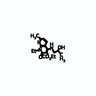 CCOC(=O)c1c(NCC(C)O)c2ccc(C)nc2n(CC)c1=O